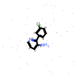 Nc1cccnc1-c1cccc(Cl)c1